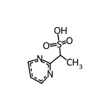 CC(c1ncccn1)S(=O)(=O)O